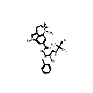 C#CC(C)(C)NC[C@@H](N=O)[C@H](Cc1ccccc1)NC(=O)c1cc2c3c(cn(CC)c3c1)CCS(=O)(=O)N2C